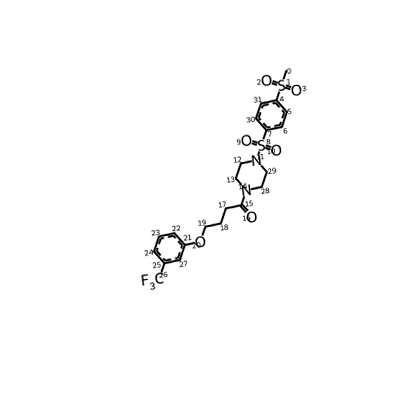 CS(=O)(=O)c1ccc(S(=O)(=O)N2CCN(C(=O)CCCOc3cccc(C(F)(F)F)c3)CC2)cc1